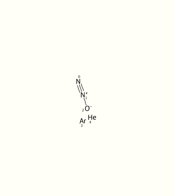 N#[N+][O-].[Ar].[He]